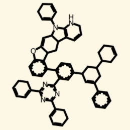 C1=CCCC(c2nc(C3=CC=CCC3)nc(-c3cc(C4C=C(c5ccccc5)CC(C5CC=CCC5)C4)ccc3-c3cccc4c3C3CC5C6=C(NCC=C6)N(C6=CCCC=C6)C5C=C3O4)n2)=C1